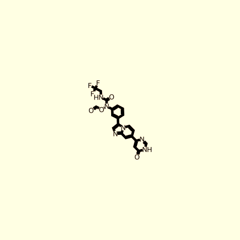 O=CON(C(=O)NCC(F)(F)F)c1cccc(-c2cnc3cc(-c4cc(=O)[nH]cn4)ccn23)c1